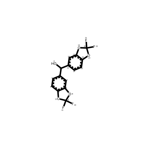 OC(c1ccc2c(c1)OC(F)(F)O2)c1ccc2c(c1)OC(F)(F)O2